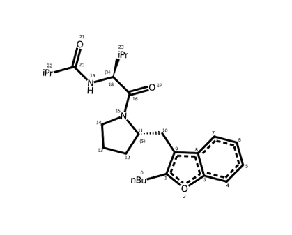 CCCCc1oc2ccccc2c1C[C@@H]1CCCN1C(=O)[C@@H](NC(=O)C(C)C)C(C)C